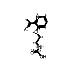 CC(=O)c1ncccc1OCCNC(=O)O